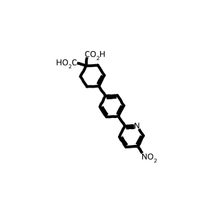 O=C(O)C1(C(=O)O)CC=C(c2ccc(-c3ccc([N+](=O)[O-])cn3)cc2)CC1